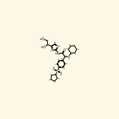 O=C(Nc1nc(C(O)CO)cs1)C(OC1CCCCC1)c1ccc(S(=O)(=O)C2CCCC2)cc1